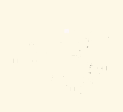 COC(=O)COC/C=C\CN1C(=O)CCC[C@@H]1CO.Cc1ccc(S(=O)(=O)O)cc1.O